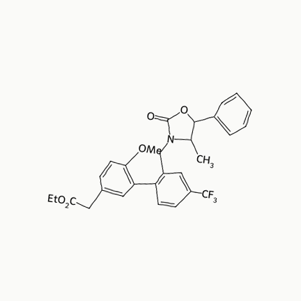 CCOC(=O)Cc1ccc(OC)c(-c2ccc(C(F)(F)F)cc2CN2C(=O)OC(c3ccccc3)C2C)c1